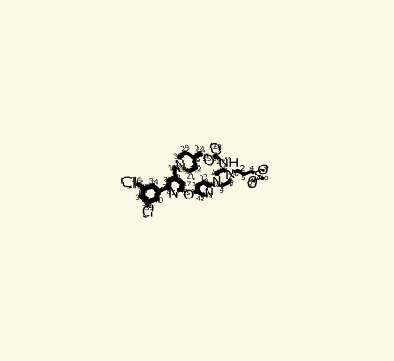 CS(=O)(=O)CCCN1CCN(c2ccc(Oc3cc(CN4CCC(COC(N)=O)CC4)cc(-c4cc(Cl)cc(Cl)c4)n3)cn2)CC1